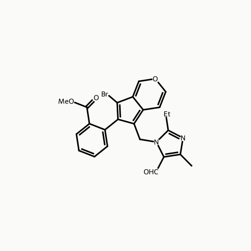 CCc1nc(C)c(C=O)n1Cc1c2ccocc-2c(Br)c1-c1ccccc1C(=O)OC